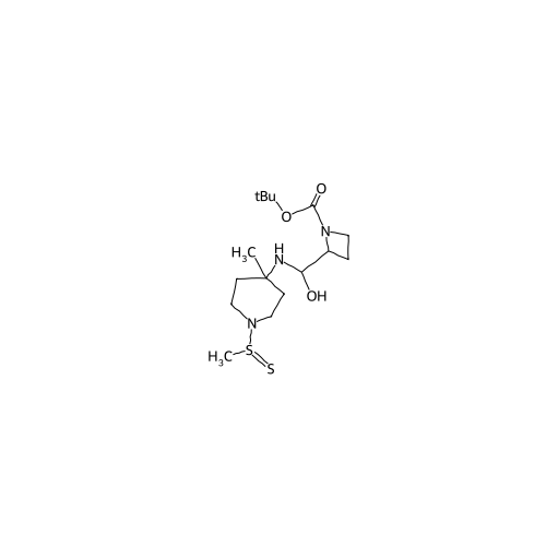 CS(=S)N1CCC(C)(NC(O)C2CCN2C(=O)OC(C)(C)C)CC1